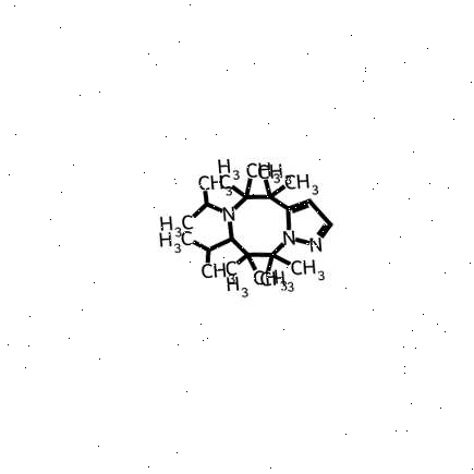 CC(C)C1N(C(C)C)C(C)(C)C(C)(C)c2ccnn2C(C)(C)C1(C)C